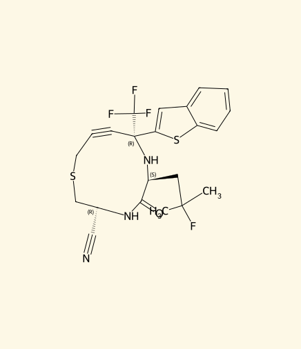 CC(C)(F)C[C@@H]1N[C@@](c2cc3ccccc3s2)(C(F)(F)F)C#CCSC[C@@H](C#N)NC1=O